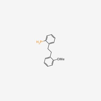 COc1ccccc1CCc1ccccc1P